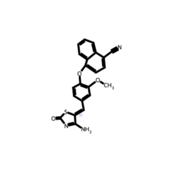 COc1cc(/C=C2\SC(=O)N=C2N)ccc1Oc1ccc(C#N)c2ccccc12